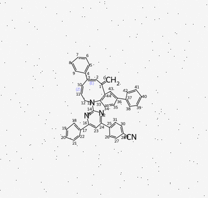 C=C1/C=C(c2ccccc2)\C=C/CN(c2nc(-c3ccccc3)cc(-c3ccc(C#N)cc3)n2)c2ccc(-c3ccccc3)cc21